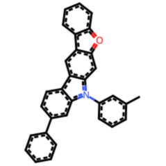 Cc1cccc(-n2c3cc(-c4ccccc4)ccc3c3cc4c(cc32)oc2ccccc24)c1